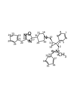 CN(C[C@@]1(c2ccccc2)C[C@H]1CN1CCC(c2nc(Cc3ccccc3)no2)CC1)Sc1ccccc1